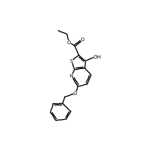 CCOC(=O)c1sc2nc(OCc3ccccc3)ccc2c1O